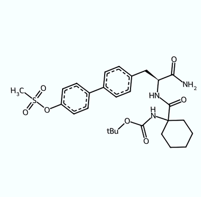 CC(C)(C)OC(=O)NC1(C(=O)N[C@@H](Cc2ccc(-c3ccc(OS(C)(=O)=O)cc3)cc2)C(N)=O)CCCCC1